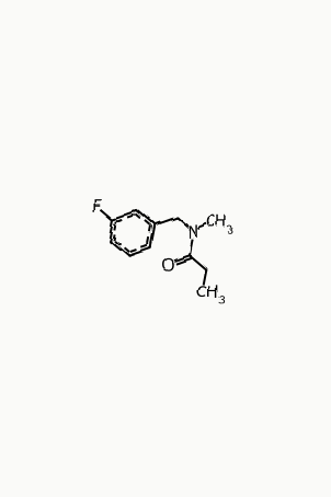 CCC(=O)N(C)Cc1cccc(F)c1